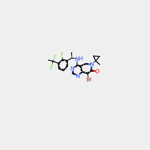 C[C@@H](Nc1ncnc2c(Br)c(=O)n(C3(C)CC3)cc12)c1cccc(C(C)(F)F)c1F